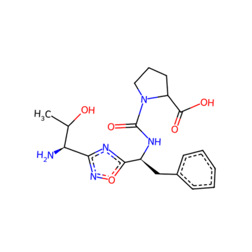 CC(O)[C@H](N)c1noc([C@H](Cc2ccccc2)NC(=O)N2CCCC2C(=O)O)n1